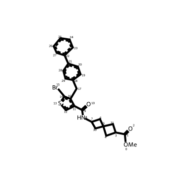 COC(=O)C1CC2(CC(NC(=O)c3csc(Br)c3Cc3ccc(-c4ccccc4)cc3)C2)C1